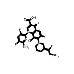 NCC(F)=C1CCCN(c2c(F)cc3c(=O)c(C(=O)O)cn(-c4nc(N)c(F)cc4F)c3c2Cl)C1